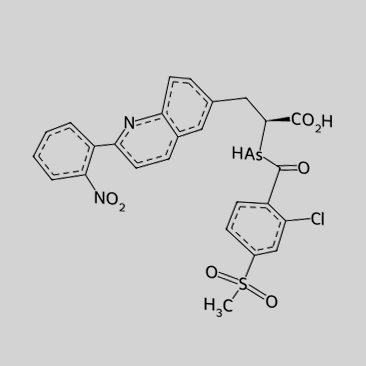 CS(=O)(=O)c1ccc(C(=O)[AsH][C@@H](Cc2ccc3nc(-c4ccccc4[N+](=O)[O-])ccc3c2)C(=O)O)c(Cl)c1